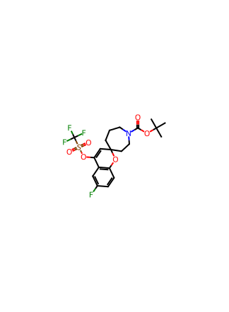 CC(C)(C)OC(=O)N1CCCC2(C=C(OS(=O)(=O)C(F)(F)F)c3cc(F)ccc3O2)CC1